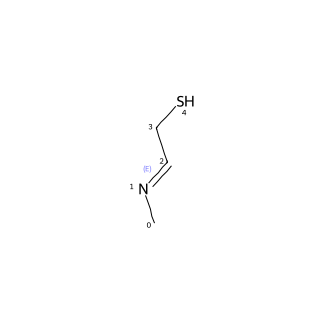 C/N=C/CS